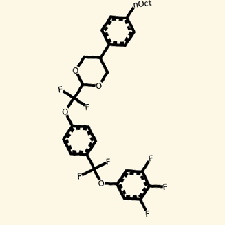 CCCCCCCCc1ccc(C2COC(C(F)(F)Oc3ccc(C(F)(F)Oc4cc(F)c(F)c(F)c4)cc3)OC2)cc1